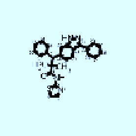 CC(C)(C(=O)Nc1nccs1)C(c1ccccc1)c1ccc2c(-c3ccccc3)n[nH]c2c1